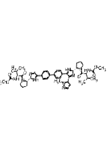 COC(=O)N[C@H](C(=O)N1CCC[C@H]1c1ncc(-c2ccc(-c3ccc(-c4[nH]c([C@@H]5CCCN5C(=O)[C@@H](NC(=O)OC)C(C)C)nc4-c4ccnn4C)cc3)cc2)[nH]1)C(C)C